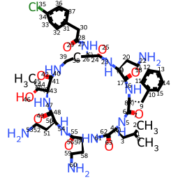 CC(C)C[C@@H]1NC(=O)[C@@H](Cc2ccccc2)NC(=O)[C@H](CCN)NC(=O)[C@@H](NC(=O)Cc2ccc(Cl)cc2)CCNC(=O)[C@H]([C@@H](C)O)NC(=O)[C@H](CCN)NC(=O)[C@H](CCN)NC1=O